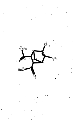 CC1=C(C)C2CC1C(C(=O)OCC(C)C)C2C(=O)OCC(C)C